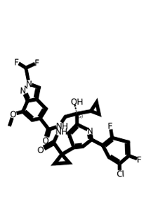 COc1cc(C(=O)NC[C@](O)(c2cc(C3(C(N)=O)CC3)cc(-c3cc(Cl)c(F)cc3F)n2)C2CC2)cc2cn(C(F)F)nc12